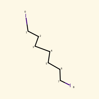 ICCCCCCCI